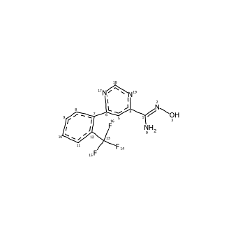 NC(=NO)c1cc(-c2ccccc2C(F)(F)F)ncn1